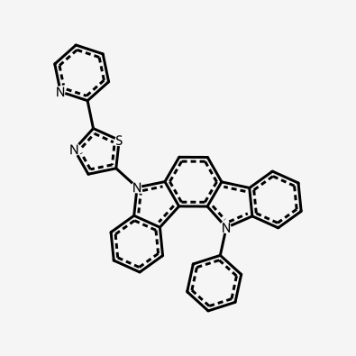 c1ccc(-n2c3ccccc3c3ccc4c(c5ccccc5n4-c4cnc(-c5ccccn5)s4)c32)cc1